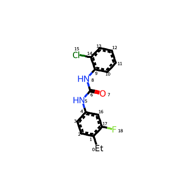 CCc1ccc(NC(=O)Nc2ccccc2Cl)cc1F